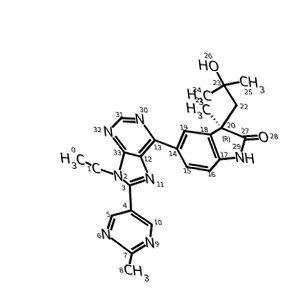 CCn1c(-c2cnc(C)nc2)nc2c(-c3ccc4c(c3)[C@@](C)(CC(C)(C)O)C(=O)N4)ncnc21